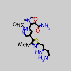 CNc1nc(CC(=N)/C=C\N)sc1C(/C=N\NC=O)=C/CC1=C(C(N)=O)OCN1C